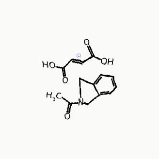 CC(=O)N1Cc2ccccc2C1.O=C(O)/C=C/C(=O)O